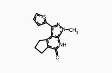 Cn1nc(-c2cccs2)c2c3c(c(=O)[nH]c21)CCC3